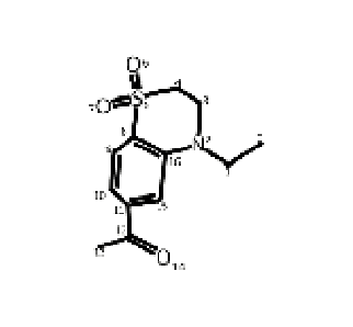 CCN1CCS(=O)(=O)c2ccc(C(C)=O)cc21